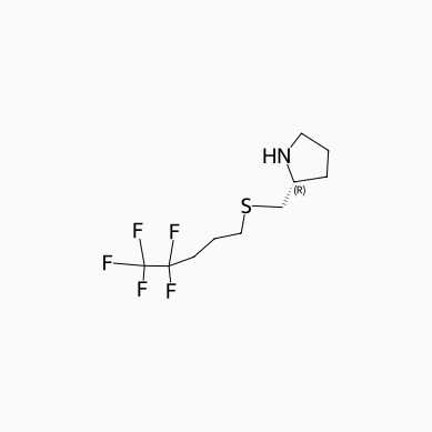 FC(F)(F)C(F)(F)CCCSC[C@H]1CCCN1